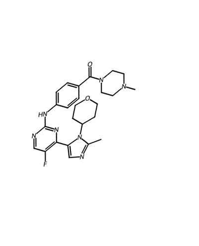 Cc1ncc(-c2nc(Nc3ccc(C(=O)N4CCN(C)CC4)cc3)ncc2F)n1C1CCOCC1